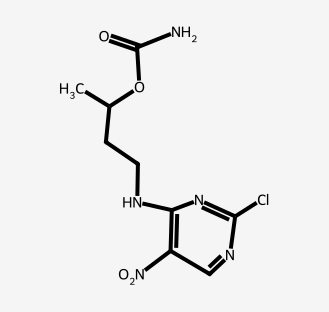 CC(CCNc1nc(Cl)ncc1[N+](=O)[O-])OC(N)=O